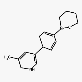 CC1=CC(C2C=CC(N3CCCCC3)=CC2)=CNC1